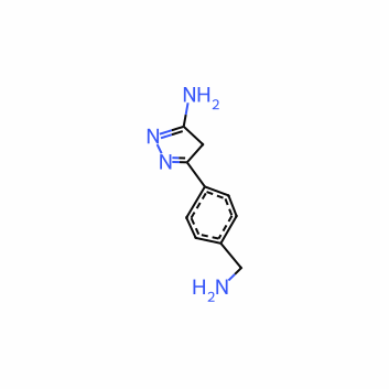 NCc1ccc(C2=NN=C(N)C2)cc1